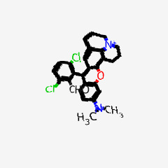 CN(C)c1ccc2c(c1)Oc1c3c4c(cc1=C2c1c(Cl)ccc(Cl)c1C=O)CCC[N+]=4CCC3